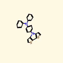 c1ccc(N(c2ccccc2)c2ccc(-n3c4ccsc4c4sccc43)cc2)cc1